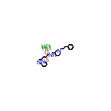 Cl.Cl.O=C(NCC1CCCN(CCCc2ccccc2)C1)C1=Cc2cnc3cccc(n23)S1